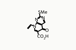 C=Cn1cc(C(=O)O)c(=O)c2cnc(SC)nc21